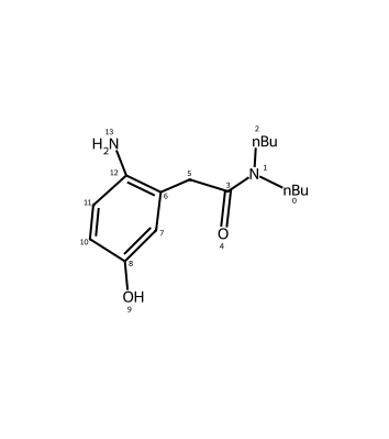 CCCCN(CCCC)C(=O)Cc1cc(O)ccc1N